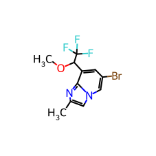 COC(c1cc(Br)cn2cc(C)nc12)C(F)(F)F